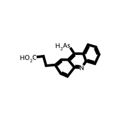 O=C(O)CCc1ccc2nc3ccccc3c([AsH2])c2c1